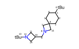 CC(C)(C)C1CCC2(CC1)CN(CC1CN(C(C)(C)C)C1)C2